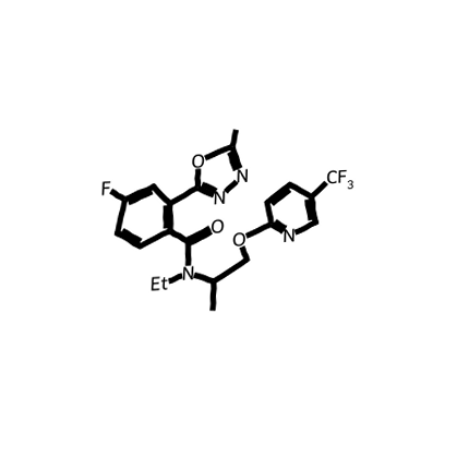 CCN(C(=O)c1ccc(F)cc1-c1nnc(C)o1)C(C)COc1ccc(C(F)(F)F)cn1